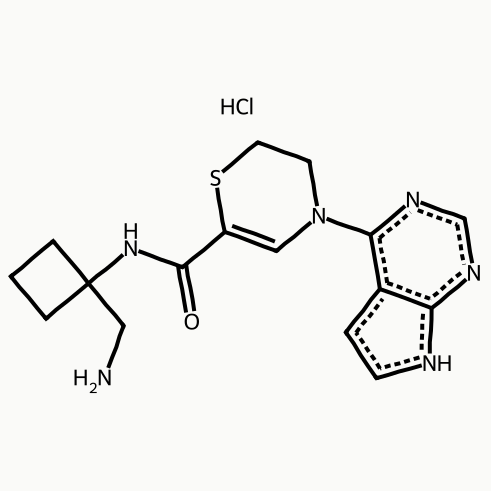 Cl.NCC1(NC(=O)C2=CN(c3ncnc4[nH]ccc34)CCS2)CCC1